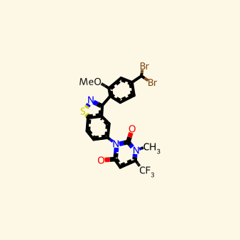 COc1cc(C(Br)Br)ccc1-c1nsc2ccc(-n3c(=O)cc(C(F)(F)F)n(C)c3=O)cc12